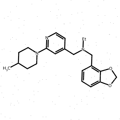 CCN(Cc1ccnc(N2CCC(C)CC2)c1)Cc1cccc2c1OCO2